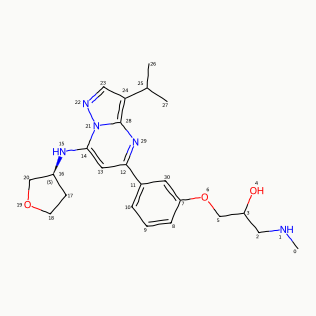 CNCC(O)COc1cccc(-c2cc(N[C@H]3CCOC3)n3ncc(C(C)C)c3n2)c1